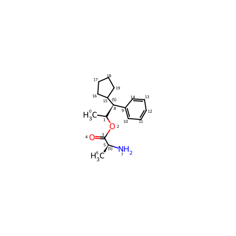 CC(OC(=O)[C@H](C)N)[C@H](c1ccccc1)C1CCCC1